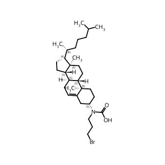 CC(C)CCC[C@@H](C)[C@H]1CC[C@H]2[C@@H]3CC=C4C[C@@H](N(CCCBr)C(=O)O)CC[C@]4(C)[C@H]3CC[C@]12C